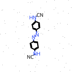 N#CNc1ccc(/N=N/c2ccc(NC#N)cc2)cc1